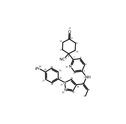 CC=C(Nc1ccc(C2(C#N)CCC(=O)CC2)nc1)c1cnn(-c2ccc(C(C)C)cc2)c1